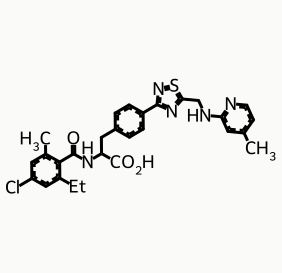 CCc1cc(Cl)cc(C)c1C(=O)NC(Cc1ccc(-c2nsc(CNc3cc(C)ccn3)n2)cc1)C(=O)O